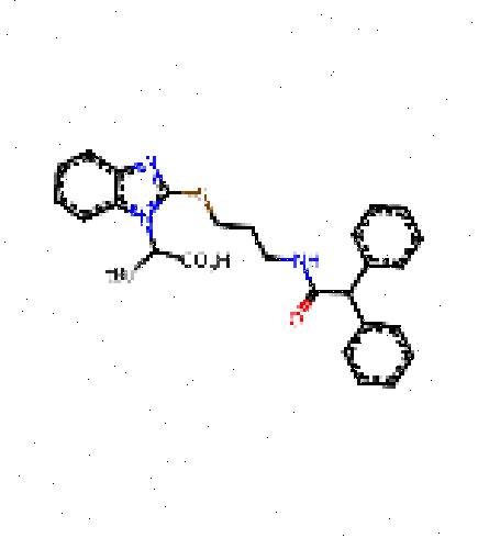 CC(C)(C)C(C(=O)O)n1c(SCCCNC(=O)C(c2ccccc2)c2ccccc2)nc2ccccc21